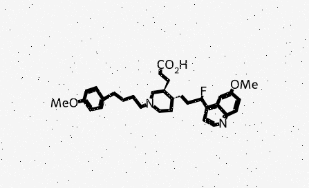 COc1ccc(CCCCN2CC[C@@H](CC[C@@H](F)c3ccnc4ccc(OC)cc34)[C@H](CCC(=O)O)C2)cc1